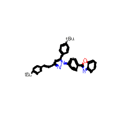 CC(C)(C)c1ccc(C=Cc2cc(-c3ccc(C(C)(C)C)cc3)n(-c3ccc(-c4nc5ccccc5o4)cc3)n2)cc1